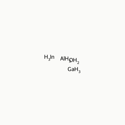 O.[AlH3].[GaH3].[InH3]